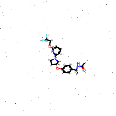 CC(=O)N[C@@H](C)c1ccc(O[C@@H]2CCN(c3cccc(OCC(F)F)n3)C2)cc1